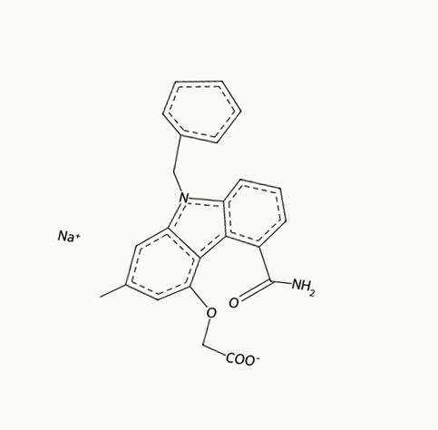 Cc1cc(OCC(=O)[O-])c2c3c(C(N)=O)cccc3n(Cc3ccccc3)c2c1.[Na+]